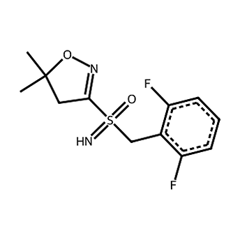 CC1(C)CC(S(=N)(=O)Cc2c(F)cccc2F)=NO1